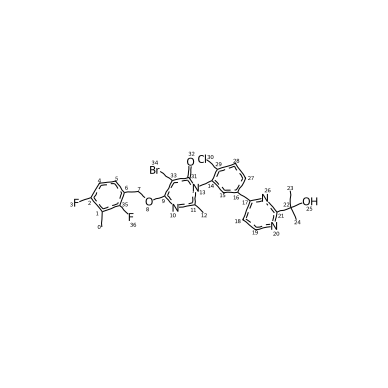 Cc1c(F)ccc(COc2nc(C)n(-c3cc(-c4ccnc(C(C)(C)O)n4)ccc3Cl)c(=O)c2Br)c1F